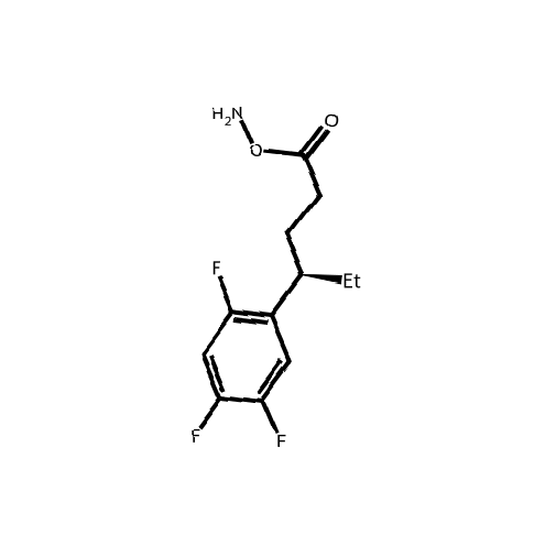 CC[C@H](CCC(=O)ON)c1cc(F)c(F)cc1F